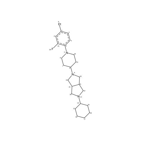 CCc1ccc(N2CCC(N3CC4CN(C5CCCCC5)CC4C3)CC2)c(F)c1